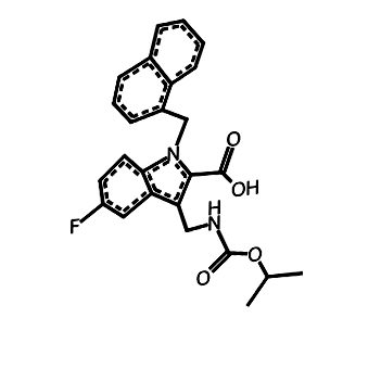 CC(C)OC(=O)NCc1c(C(=O)O)n(Cc2cccc3ccccc23)c2ccc(F)cc12